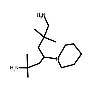 CC(C)(N)CC(CC(C)(C)CN)N1CCCCC1